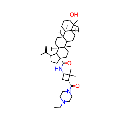 C=C(C)[C@@H]1CC[C@]2(C(=O)N[C@H]3C[C@@H](C(=O)N4CCN(CC)CC4)C3(C)C)CC[C@]3(C)[C@H](CC[C@@H]4[C@@]5(C)CC[C@H](O)C(C)(C)[C@@H]5CC[C@]43C)C12